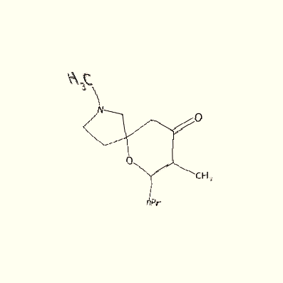 CCCC1OC2(CCN(C)C2)CC(=O)C1C